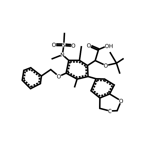 Cc1c(OCc2ccccc2)c(N(C)S(C)(=O)=O)c(C)c(C(OC(C)(C)C)C(=O)O)c1-c1ccc2c(c1)CCCO2